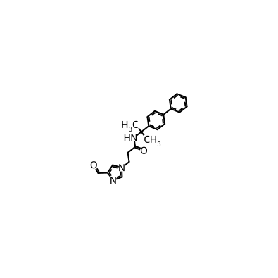 CC(C)(NC(=O)CCn1cnc(C=O)c1)c1ccc(-c2ccccc2)cc1